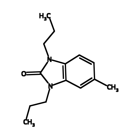 CCCn1c(=O)n(CCC)c2cc(C)ccc21